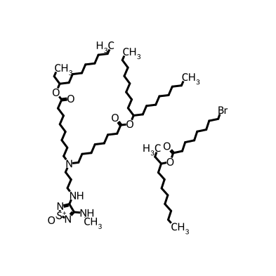 CCCCCCCCC(CC)OC(=O)CCCCCCCBr.CCCCCCCCC(CC)OC(=O)CCCCCCCN(CCCCCCCC(=O)OC(CCCCCCCC)CCCCCCCC)CCCNc1n[s+]([O-])nc1NC